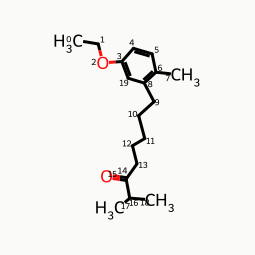 CCOc1ccc(C)c(CCCCCC(=O)C(C)C)c1